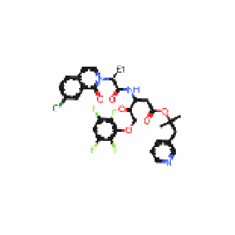 CC[C@@H](C(=O)NC(CC(=O)OC(C)(C)Cc1cccnc1)C(=O)COc1c(F)c(F)cc(F)c1F)n1ccc2ccc(Cl)cc2c1=O